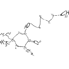 C=C1CC(C)(C)C=C(OCCCCC)C1=O